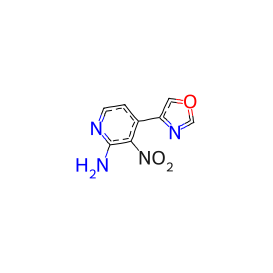 Nc1nccc(-c2cocn2)c1[N+](=O)[O-]